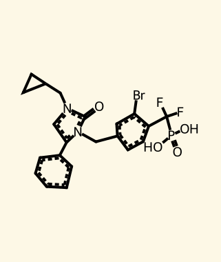 O=c1n(CC2CC2)cc(-c2ccccc2)n1Cc1ccc(C(F)(F)P(=O)(O)O)c(Br)c1